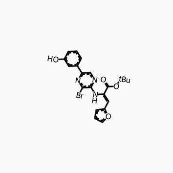 CC(C)(C)OC(=O)/C(=C/c1ccco1)Nc1ncc(-c2cccc(O)c2)nc1Br